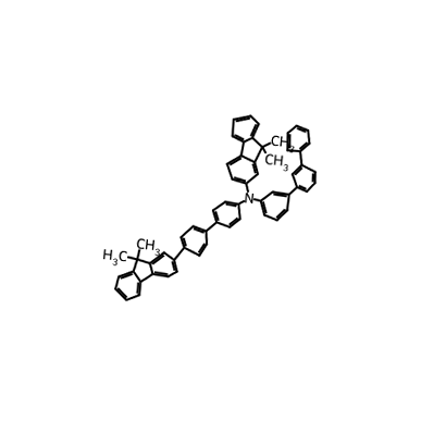 CC1(C)c2ccccc2-c2ccc(-c3ccc(-c4ccc(N(c5cccc(-c6cccc(-c7ccccc7)c6)c5)c5ccc6c(c5)C(C)(C)c5ccccc5-6)cc4)cc3)cc21